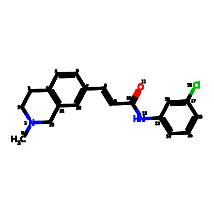 CN1CCc2ccc(C=CC(=O)Nc3cccc(Cl)c3)cc2C1